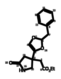 CCOC(=O)CC1(C2=COC(Cc3ccccc3)O2)CNC(=O)C1